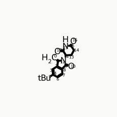 C=C1c2cc(C(C)(C)C)ccc2C(=O)N1C1CCC(=O)NC1=O